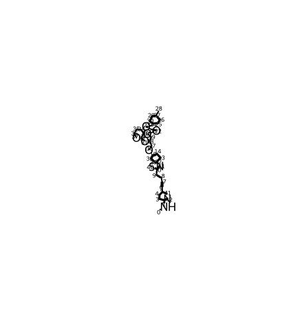 CNc1ccc(C#C/C=C/c2nc3ccc(OCC(COS(=O)(=O)c4ccc(C)cc4)OC4CCCCO4)cc3s2)cn1